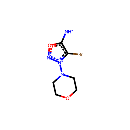 [NH-]c1on[n+](N2CCOCC2)c1Br